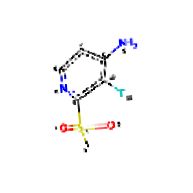 CS(=O)(=O)c1nccc(N)c1F